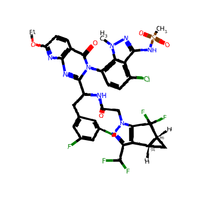 CCOc1ccc2c(=O)n(-c3ccc(Cl)c4c(NS(C)(=O)=O)nn(C)c34)c(C(Cc3cc(F)cc(F)c3)NC(=O)Cn3nc(C(F)F)c4c3C(F)(F)[C@@H]3C[C@H]43)nc2n1